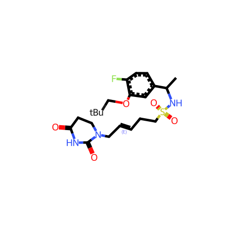 CC(NS(=O)(=O)CC/C=C/CN1CCC(=O)NC1=O)c1ccc(F)c(OCC(C)(C)C)c1